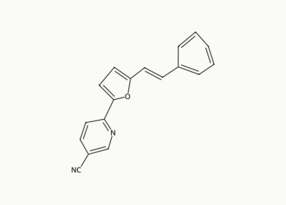 N#Cc1ccc(-c2ccc(C=Cc3ccccc3)o2)nc1